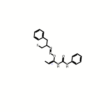 C/C=C(/NC(=O)Nc1ccccc1)ON=NC(CF)Cc1ccccc1